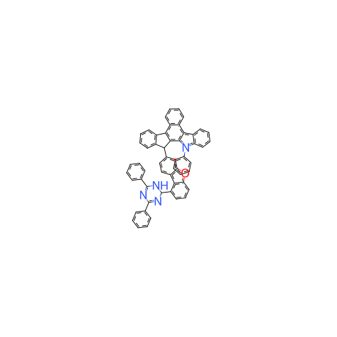 c1ccc(C2=NC(c3cccc4oc5cc(C6c7ccccc7-c7c6c6c(c8ccccc78)c7ccccc7n6-c6ccccc6)ccc5c34)NC(c3ccccc3)=N2)cc1